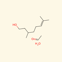 CC(C)=CCCC(C)CCO.CC=O.O